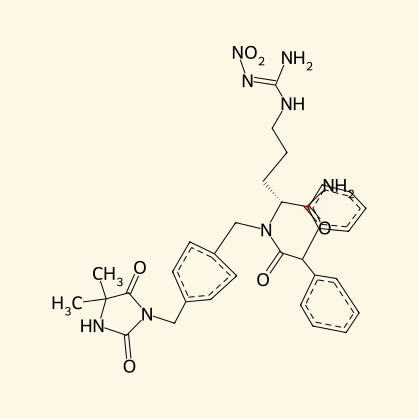 CC1(C)NC(=O)N(Cc2ccc(CN(C(=O)C(c3ccccc3)c3ccccc3)[C@H](CCCNC(N)=N[N+](=O)[O-])C(N)=O)cc2)C1=O